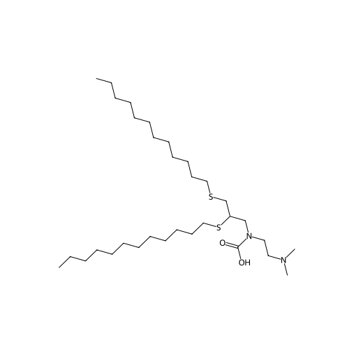 CCCCCCCCCCCCSCC(CN(CCN(C)C)C(=O)O)SCCCCCCCCCCCC